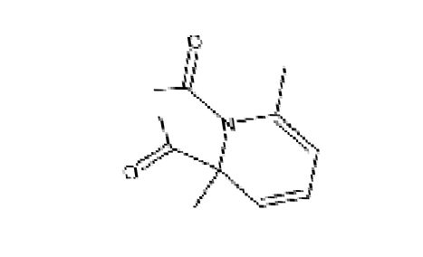 CC(=O)N1C(C)=CC=CC1(C)C(C)=O